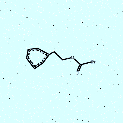 C[C](C)C(=O)OCCc1ccccc1